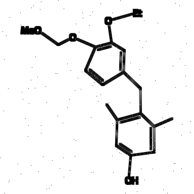 CCOc1cc(Cc2c(C)cc(O)cc2C)ccc1OCOC